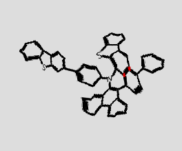 c1ccc(-c2ccc(-c3c(N(c4ccc(-c5ccc6c(c5)sc5ccccc56)cc4)c4cccc5c4sc4ccccc45)c4ccccc4c4ccccc34)cc2)cc1